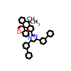 CC1(C)c2ccccc2C2(c3ccccc3Oc3ccccc32)c2cc(-c3nc(-c4cccc(-c5ccccc5)c4)cc(-c4cccc(-c5ccccc5)c4)n3)ccc21